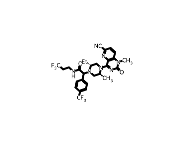 CC[C@@H]1CN(c2nc(=O)n(C)c3ccc(C#N)nc23)[C@@H](C)CN1C(C(=O)NCCC(F)(F)F)c1ccc(C(F)(F)F)cc1